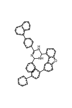 c1ccc(-c2ccc(-c3ccc4oc5cccc(C6NC(c7ccc(-c8cccc9ccccc89)cc7)=NC(c7ccccc7)N6)c5c4c3)cc2)cc1